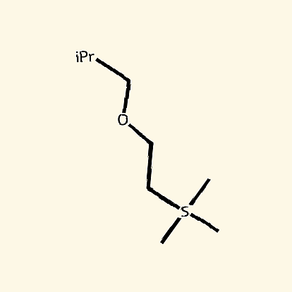 CC(C)COCCS(C)(C)C